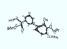 CCCOc1c(OC)ccc(-c2cccc(C(=CO)C(=O)OC)c2)c1C#N